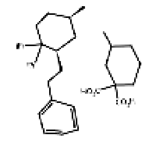 CC(C)C1(C(C)C)CC[C@@H](C)C[C@H]1CCc1ccccc1.CC1CCCC(C(=O)O)(C(=O)O)C1